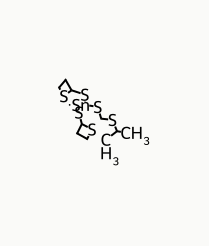 CC(C)SC[S][Sn]([S]C1CCS1)[S]C1CCS1